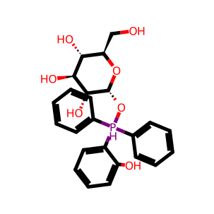 OC[C@H]1O[C@H](O[PH](c2ccccc2)(c2ccccc2)c2ccccc2O)[C@H](O)[C@@H](O)[C@@H]1O